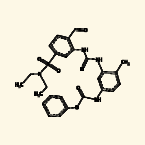 CCN(CC)S(=O)(=O)c1ccc(C=O)c(NC(=O)Nc2cc(NC(=O)Oc3ccccc3)ccc2C)c1